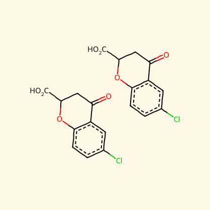 O=C1CC(C(=O)O)Oc2ccc(Cl)cc21.O=C1CC(C(=O)O)Oc2ccc(Cl)cc21